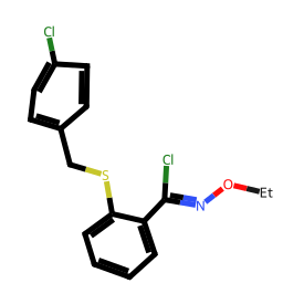 CCON=C(Cl)c1ccccc1SCc1ccc(Cl)cc1